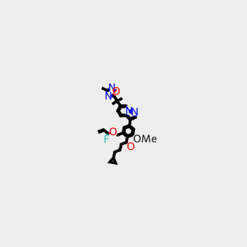 C=CC(F)OCc1cc(-c2cnn3cc(C(C)(C)c4nc(C)no4)ccc23)cc(OC)c1C(=O)CCCC1CC1